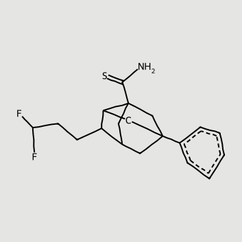 NC(=S)C12CC3CC(c4ccccc4)(CC1C3CCC(F)F)C2